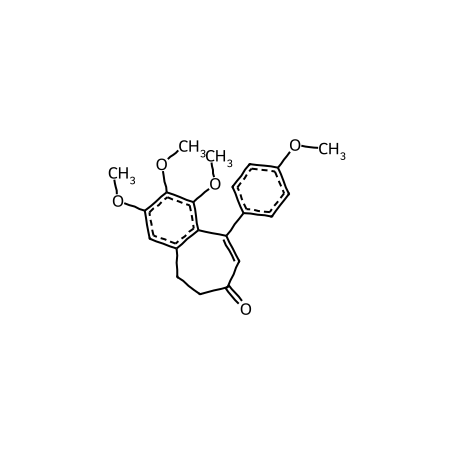 COc1ccc(C2=CC(=O)CCc3cc(OC)c(OC)c(OC)c32)cc1